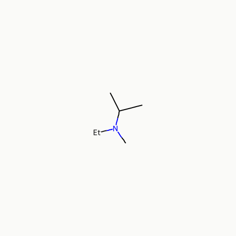 CCN(C)C(C)C